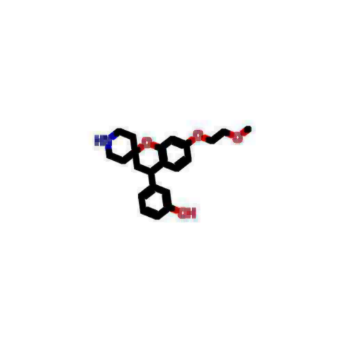 COCCOc1ccc2c(c1)OC1(CCNCC1)CC2c1cccc(O)c1